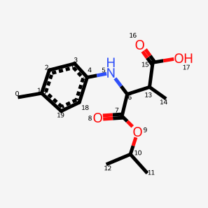 Cc1ccc(NC(C(=O)OC(C)C)C(C)C(=O)O)cc1